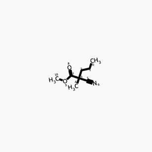 CCCC(C)(C#N)C(=O)OC